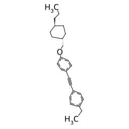 CCC[C@H]1CC[C@H](COc2ccc(C#Cc3ccc(CC)cc3)cc2)CC1